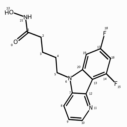 O=C(CCCCn1c2cccnc2c2c(F)cc(F)cc21)NO